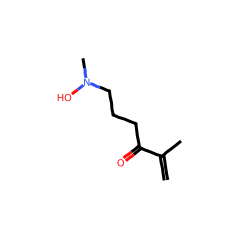 C=C(C)C(=O)CCCN(C)O